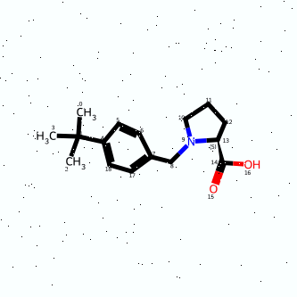 CC(C)(C)c1ccc(CN2CCC[C@H]2C(=O)O)cc1